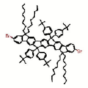 CCCCCCCCC1(CCCCCCCC)c2cc(Br)ccc2-c2cc3c(cc21)-c1cc2c(cc1C3(c1ccc(C(C)(C)C)cc1)c1ccc(C(C)(C)C)cc1)-c1cc3c(cc1C2(c1ccc(C(C)(C)C)cc1)c1ccc(C(C)(C)C)cc1)-c1ccc(Br)cc1C3(CCCCCCCC)CCCCCCCC